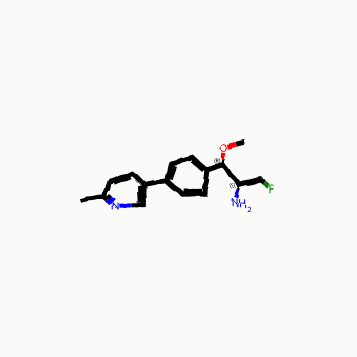 CO[C@H](c1ccc(-c2ccc(C)nc2)cc1)[C@H](N)CF